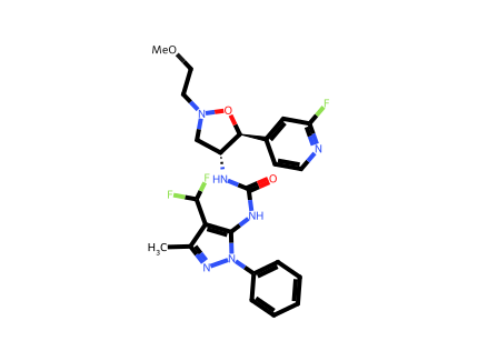 COCCN1C[C@@H](NC(=O)Nc2c(C(F)F)c(C)nn2-c2ccccc2)[C@H](c2ccnc(F)c2)O1